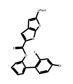 CCCCCc1cc2cc(C(=O)Oc3ccccc3-c3ccc(CC)cc3F)sc2s1